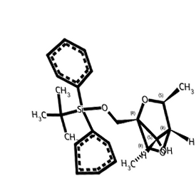 C[C@@H]1O[C@@]2(CO[Si](c3ccccc3)(c3ccccc3)C(C)(C)C)[C@@H](C)O[C@@H]1[C@@H]2O